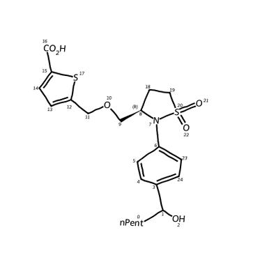 CCCCCC(O)c1ccc(N2[C@@H](COCc3ccc(C(=O)O)s3)CCS2(=O)=O)cc1